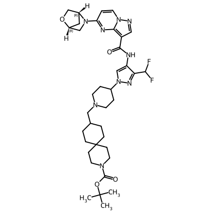 CC(C)(C)OC(=O)N1CCC2(CCC(CN3CCC(n4cc(NC(=O)c5cnn6ccc(N7C[C@H]8C[C@@H]7CO8)nc56)c(C(F)F)n4)CC3)CC2)CC1